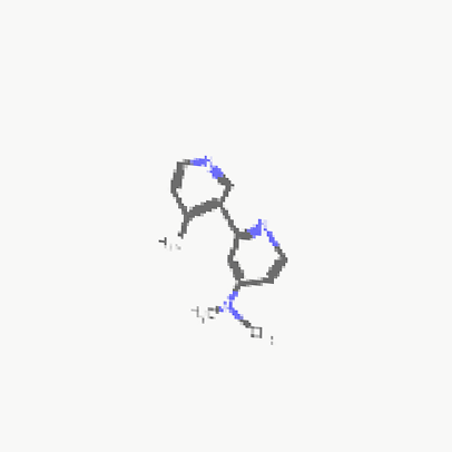 Cc1ccncc1-c1cc(N(C)C)ccn1